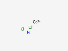 [Cl-].[Cl-].[Co+2].[N]